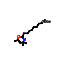 CCCCCCCCCCCCCCCCCCC1=NC(C)(C)C=C(C)O1